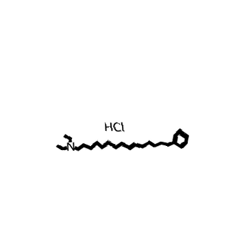 CCN(CC)CCCCCCCCCCCCCCCc1ccccc1.Cl